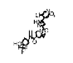 COc1cc(-c2cc(C(=O)N3CC[C@H](C(=O)NC4CCC(O)(C(F)(F)F)CC4)CC34CC4)n[nH]2)c(Cl)cn1